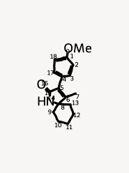 COc1ccc(C2=C(C)C3(CCCCC3)NC2=O)cc1